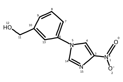 O=[N+]([O-])c1cn(-c2cccc(CO)c2)cn1